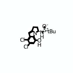 CC(C)(C)[S@@+]([O-])N[C@H]1CCc2cc3c(Cl)c(Cl)cc(O)c3n21